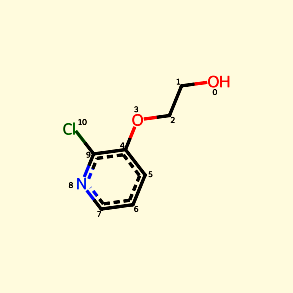 OCCOc1cccnc1Cl